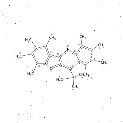 Cc1c(C)c(C)c2c(C(C)(C)C)c3oc4c(C)c(C)c(C)c(C)c4c3nc2c1C